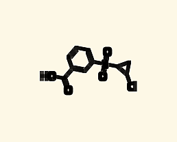 O=C(O)c1cccc(S(=O)(=O)C2CC2Cl)c1